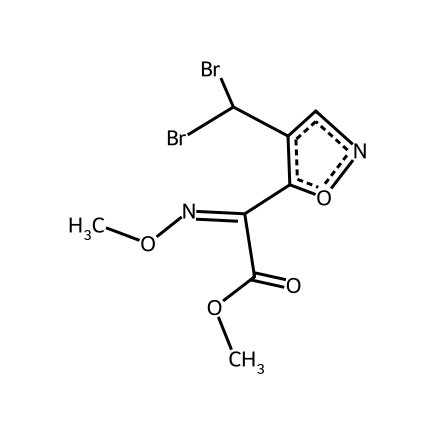 CON=C(C(=O)OC)c1oncc1C(Br)Br